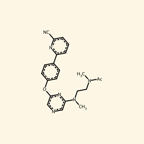 CC(=O)N(C)CCN(C)c1cncc(Oc2ccc(-c3cccc(C#N)n3)cc2)n1